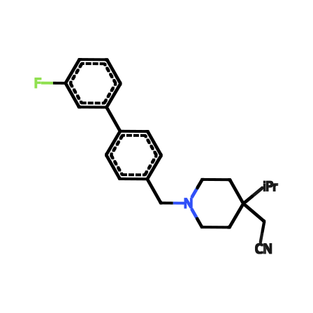 CC(C)C1(CC#N)CCN(Cc2ccc(-c3cccc(F)c3)cc2)CC1